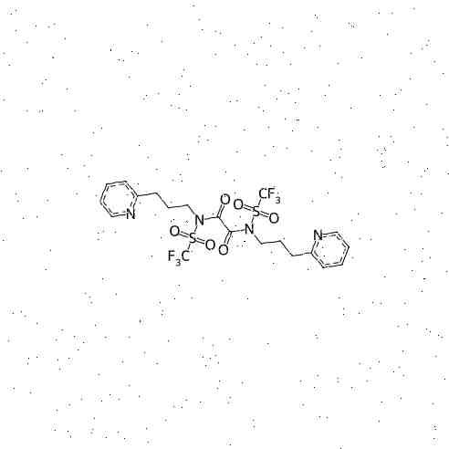 O=C(C(=O)N(CCCc1ccccn1)S(=O)(=O)C(F)(F)F)N(CCCc1ccccn1)S(=O)(=O)C(F)(F)F